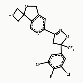 Fc1c(Cl)cc(C2(C(F)(F)F)CC(c3cc4c(cn3)C3(CNC3)OC4)=NO2)cc1Cl